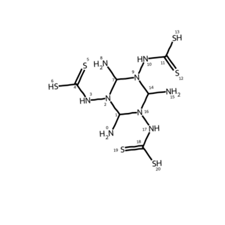 NC1N(NC(=S)S)C(N)N(NC(=S)S)C(N)N1NC(=S)S